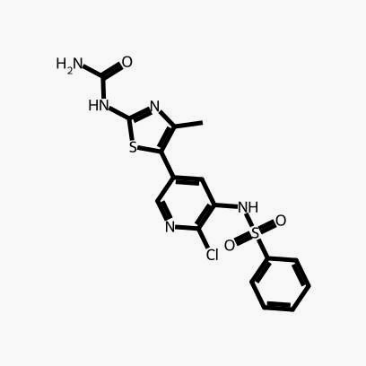 Cc1nc(NC(N)=O)sc1-c1cnc(Cl)c(NS(=O)(=O)c2ccccc2)c1